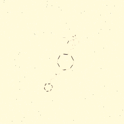 CC(C)(C)OC(=O)N1[C@H](COC2=C/C=C\C=C/C(OC(=O)OCc3ccccc3)=C\C=C/C=C\2)COS1(=O)=O